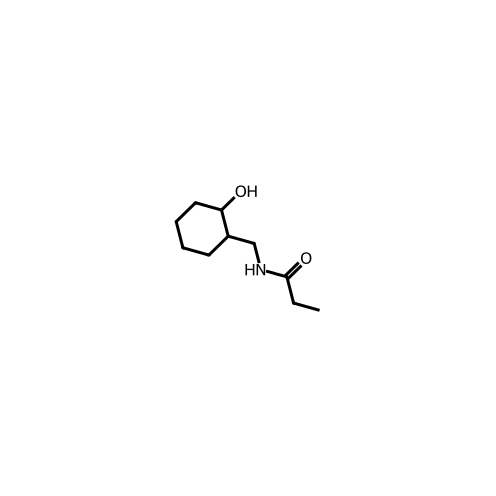 CCC(=O)NCC1CCCCC1O